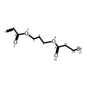 C=CC(=O)OCCCOC(=O)CCBr